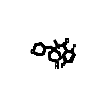 CN(C(=O)c1cc(F)ccc1F)C1(CC2CCOCC2)CCNCC1